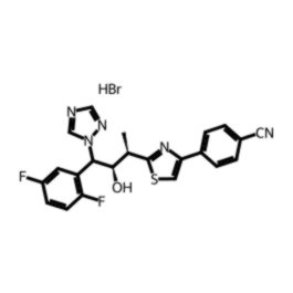 Br.C[C@@H](c1nc(-c2ccc(C#N)cc2)cs1)[C@@H](O)C(c1cc(F)ccc1F)n1cncn1